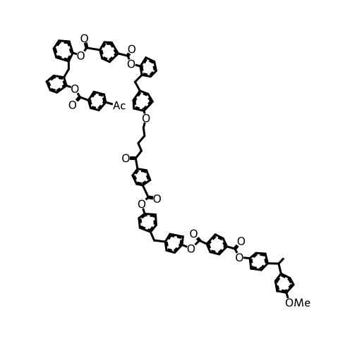 COc1ccc(C(C)c2ccc(OC(=O)c3ccc(C(=O)Oc4ccc(Cc5ccc(OC(=O)c6ccc(C(=O)CCCCOc7ccc(Cc8ccccc8OC(=O)c8ccc(C(=O)Oc9ccccc9Cc9ccccc9OC(=O)c9ccc(C(C)=O)cc9)cc8)cc7)cc6)cc5)cc4)cc3)cc2)cc1